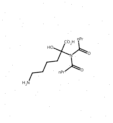 CCCC(=O)N(C(=O)CCC)C(O)(CCCCN)C(=O)O